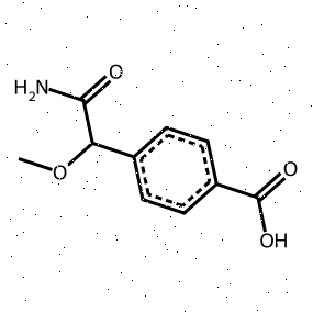 COC(C(N)=O)c1ccc(C(=O)O)cc1